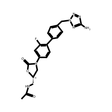 CC(=O)NC[C@H]1CN(c2ccc(-c3ccc(Cn4nnc(N)n4)cc3)c(F)c2)C(=O)O1